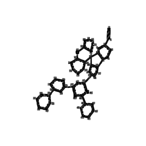 N#Cc1ccc2c(c1)C1(c3ccccc3Oc3ccccc31)c1cc(-c3cc(-c4cccc(-c5ccccc5)c4)nc(-c4ccccc4)n3)ccc1-2